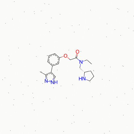 CCN(C[C@@H]1CCCN1)C(=O)COc1c[c]cc(-c2c[nH]nc2C)c1